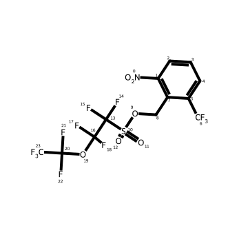 O=[N+]([O-])c1cccc(C(F)(F)F)c1COS(=O)(=O)C(F)(F)C(F)(F)OC(F)(F)C(F)(F)F